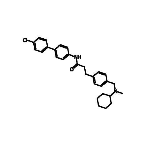 CN(Cc1ccc(CCC(=O)Nc2ccc(-c3ccc(Cl)cc3)cc2)cc1)C1CCCCC1